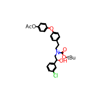 CC(=O)Oc1ccc(Oc2ccc(CCN(C[C@@H](O)c3cccc(Cl)c3)C(=O)OC(C)(C)C)cc2)cc1